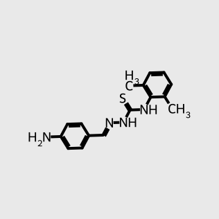 Cc1cccc(C)c1NC(=S)NN=Cc1ccc(N)cc1